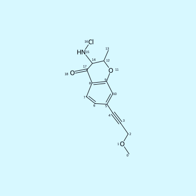 COCC#Cc1ccc2c(c1)OC(C)C(NCl)C2=O